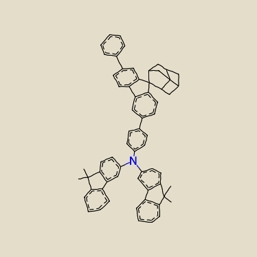 CC1(C)c2ccccc2-c2cc(N(c3ccc(-c4ccc5c(c4)-c4ccc(-c6ccccc6)cc4C54C5CC6CC(C5)CC4C6)cc3)c3ccc4c(c3)-c3ccccc3C4(C)C)ccc21